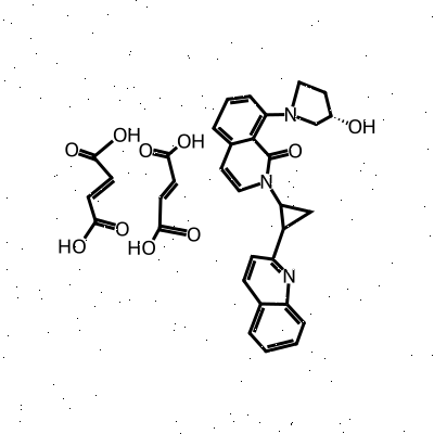 O=C(O)/C=C/C(=O)O.O=C(O)/C=C/C(=O)O.O=c1c2c(N3CC[C@H](O)C3)cccc2ccn1C1CC1c1ccc2ccccc2n1